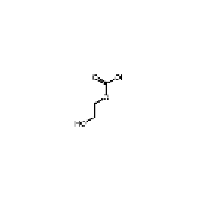 O=C(O)OCCO